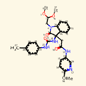 CCOC(CN1C(=O)C(CC(=O)Nc2ccc(OC)nc2)(NC(=O)Nc2ccc(C)cc2)c2ccccc21)OCC